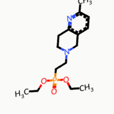 CCOP(=O)(CCN1CCc2nc(C)ccc2C1)OCC